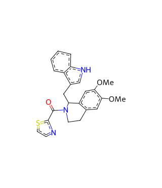 COc1cc2c(cc1OC)C(Cc1c[nH]c3ccccc13)N(C(=O)c1nccs1)CC2